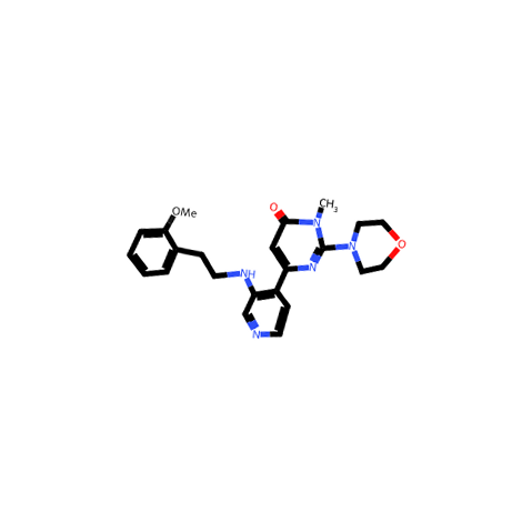 COc1ccccc1CCNc1cnccc1-c1cc(=O)n(C)c(N2CCOCC2)n1